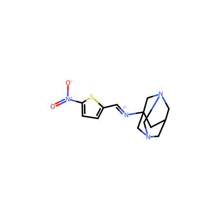 O=[N+]([O-])c1ccc(/C=N/C23CC4CN(CN(C4)C2)C3)s1